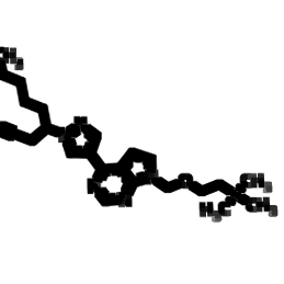 CCCCCC(CC#N)n1cc(-c2ncnc3c2ccn3COCCS(C)(C)C)cn1